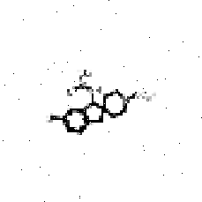 CC(C)(C)[S@+]([O-])N[C@@H]1c2cc(Cl)ccc2CC12CCN(C(=O)O)CC2